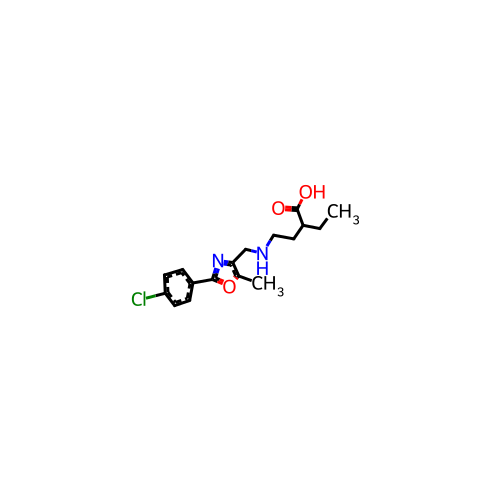 CCC(CCNCc1nc(-c2ccc(Cl)cc2)oc1C)C(=O)O